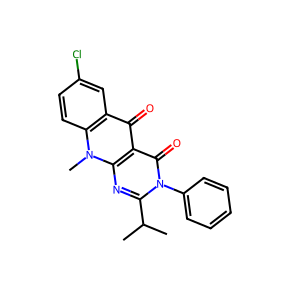 CC(C)c1nc2c(c(=O)c3cc(Cl)ccc3n2C)c(=O)n1-c1ccccc1